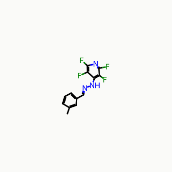 Cc1cccc(/C=N/Nc2c(F)c(F)nc(F)c2F)c1